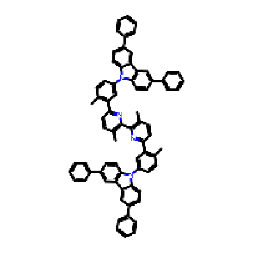 Cc1ccc(-n2c3ccc(-c4ccccc4)cc3c3cc(-c4ccccc4)ccc32)cc1-c1ccc(C)c(-c2nc(-c3cc(-n4c5ccc(-c6ccccc6)cc5c5cc(-c6ccccc6)ccc54)ccc3C)ccc2C)n1